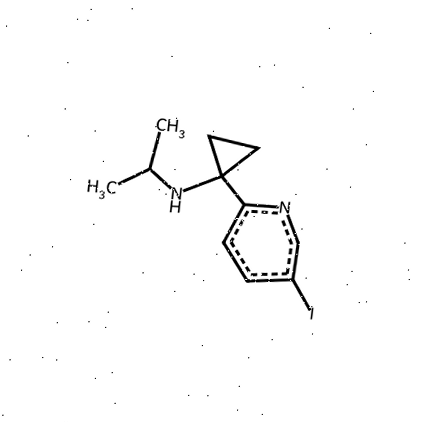 CC(C)NC1(c2ccc(I)cn2)CC1